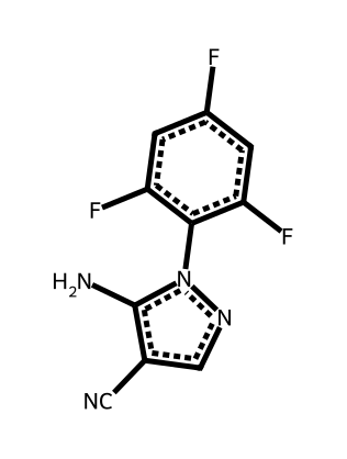 N#Cc1cnn(-c2c(F)cc(F)cc2F)c1N